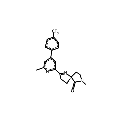 Cc1cc(-c2ccc(C(F)(F)F)cc2)cc(C2=N[C@]3(CC2)CCN(C)C3=O)n1